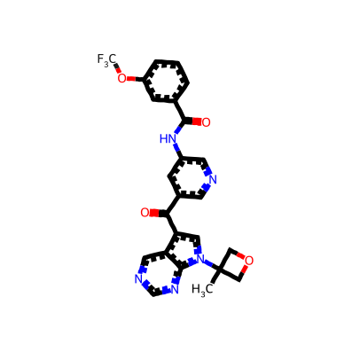 CC1(n2cc(C(=O)c3cncc(NC(=O)c4cccc(OC(F)(F)F)c4)c3)c3cncnc32)COC1